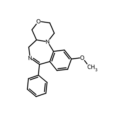 COc1ccc2c(c1)N1CCOCC1CN=C2c1ccccc1